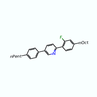 CCCCCCCCc1ccc(-c2ccc(-c3ccc(CCCCC)cc3)cn2)c(F)c1